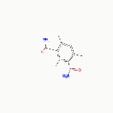 Cc1cc(C)c(C(N)=O)c(C)c1C(N)=O